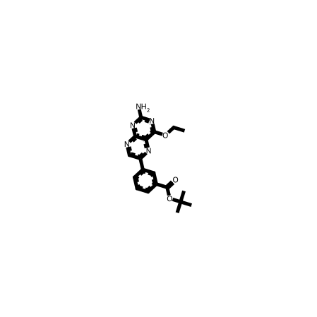 CCOc1nc(N)nc2ncc(-c3cccc(C(=O)OC(C)(C)C)c3)nc12